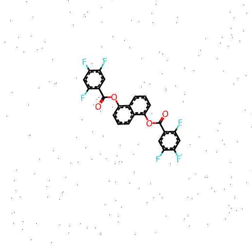 O=C(Oc1cccc2c(OC(=O)c3cc(F)c(F)cc3F)cccc12)c1cc(F)c(F)cc1F